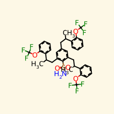 CC(Cc1cc(CC(C)c2ccccc2OC(F)(F)F)c(S(N)(=O)=O)c(CC(C)c2ccccc2OC(F)(F)F)c1)c1ccccc1OC(F)(F)F